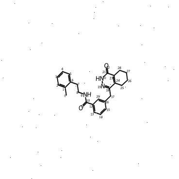 Cc1ccccc1CCNC(=O)c1cccc(Cc2n[nH]c(=O)c3c2CCCC3)c1